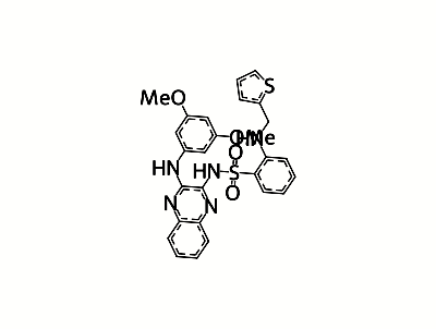 COc1cc(Nc2nc3ccccc3nc2NS(=O)(=O)c2ccccc2NCc2cccs2)cc(OC)c1